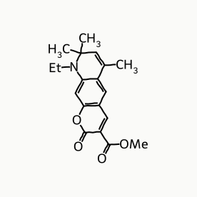 CCN1c2cc3oc(=O)c(C(=O)OC)cc3cc2C(C)=CC1(C)C